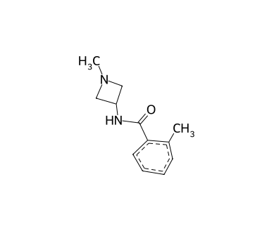 Cc1ccccc1C(=O)NC1CN(C)C1